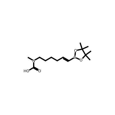 CN(CCCC/C=C/B1OC(C)(C)C(C)(C)O1)C(=O)O